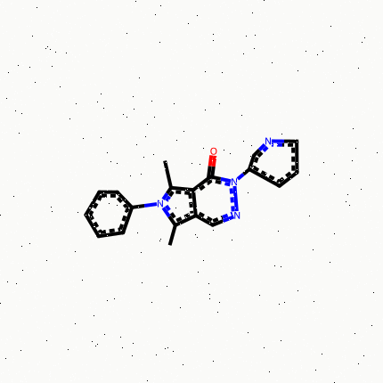 Cc1c2cnn(-c3cccnc3)c(=O)c2c(C)n1-c1ccccc1